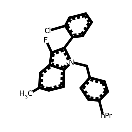 CCCc1ccc(Cn2c(-c3ccccc3Cl)c(F)c3cc(C)ccc32)cc1